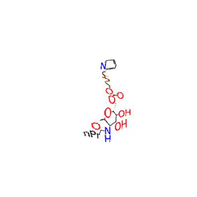 CCCC(=O)N[C@H]1C(C)O[C@H](COC(=O)OCCSSc2ccccn2)[C@@H](O)[C@@H]1O